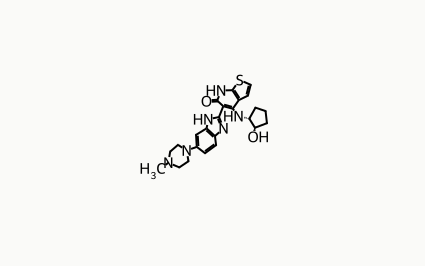 CN1CCN(c2ccc3nc(-c4c(N[C@@H]5CCC[C@H]5O)c5ccsc5[nH]c4=O)[nH]c3c2)CC1